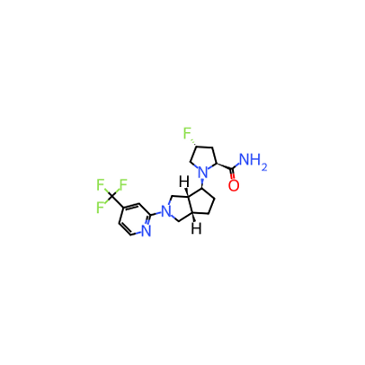 NC(=O)[C@@H]1C[C@@H](F)CN1[C@H]1CC[C@@H]2CN(c3cc(C(F)(F)F)ccn3)C[C@@H]21